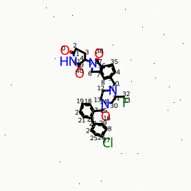 O=C1CCC(N2Cc3cc(CN4CCN(C(=O)c5ccccc5-c5ccc(Cl)cc5)CC4CF)ccc3C2=O)C(=O)N1